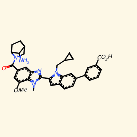 COc1cc(C(=O)N2CC3CCC2C3N)cc2nc(-c3cc4ccc(-c5cccc(C(=O)O)c5)cc4n3CC3CC3)n(C)c12